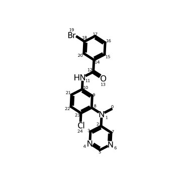 CN(c1cncnc1)c1cc(NC(=O)c2cccc(Br)c2)ccc1Cl